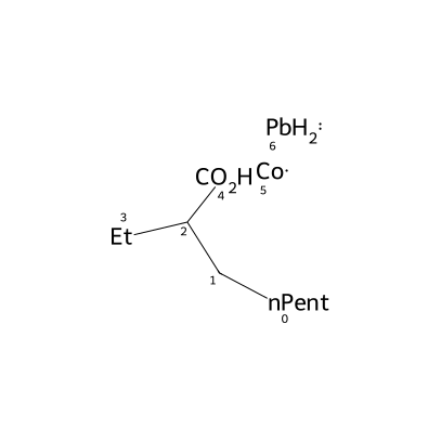 CCCCCCC(CC)C(=O)O.[Co].[PbH2]